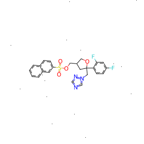 O=S(=O)(OCC1COC(Cn2cncn2)(c2ccc(F)cc2F)C1)c1ccc2ccccc2c1